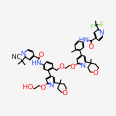 Cc1ccc(NC(=O)c2ccnc(C(C)(F)F)c2)cc1-c1cc(OCCOCc2ccc(NC(=O)c3ccnc(C(C)(C)C#N)c3)cc2-c2cc(OCCO)nc(C3(C)CCOCC3)c2)nc(C2(C)CCOCC2)c1